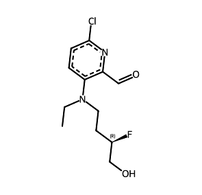 CCN(CC[C@@H](F)CO)c1ccc(Cl)nc1C=O